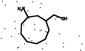 NC1CCCCCCC(CO)C1